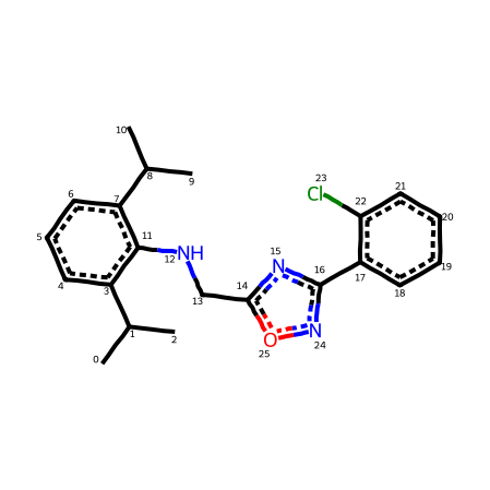 CC(C)c1cccc(C(C)C)c1NCc1nc(-c2ccccc2Cl)no1